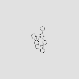 c1ccc(-c2ccnc(-n3c4ccccc4c4cc5ccc6c7ccccc7n(-c7ccccc7)c6c5cc43)c2)cc1